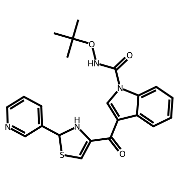 CC(C)(C)ONC(=O)n1cc(C(=O)C2=CSC(c3cccnc3)N2)c2ccccc21